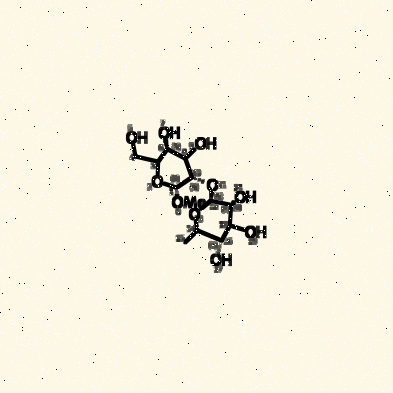 CO[C@@H]1OC(CO)[C@@H](O)C(O)[C@@H]1O[C@@H]1OC(C)[C@@H](O)C(O)[C@@H]1O